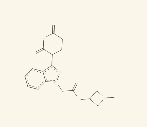 CN1CC(NC(=O)Cn2nc(C3CCC(=O)NC3=O)c3ccccc32)C1